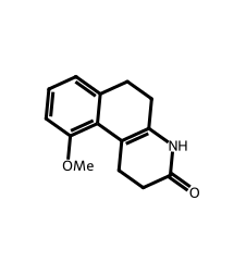 COc1cccc2c1C1=C(CC2)NC(=O)CC1